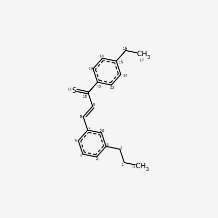 CCCc1cccc(C=CC(=S)c2ccc(CC)cc2)c1